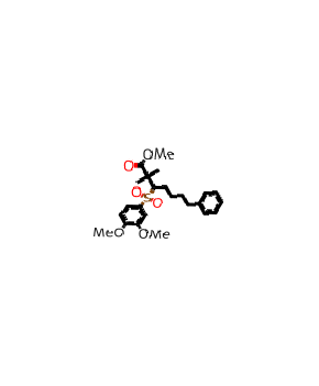 COC(=O)C(C)(C)C(CCCCc1ccccc1)S(=O)(=O)c1ccc(OC)c(OC)c1